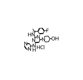 C[C@H](Nc1nc(Nc2cnccn2)cc(N2CCC(O)CC2)n1)c1ccc(F)cc1.Cl